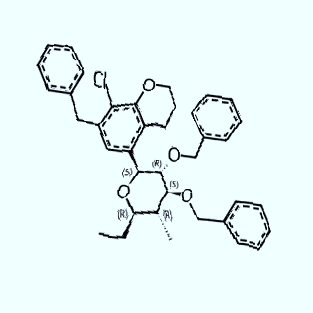 CC[C@H]1O[C@@H](c2cc(Cc3ccccc3)c(Cl)c3c2CCCO3)[C@H](OCc2ccccc2)[C@@H](OCc2ccccc2)[C@@H]1C